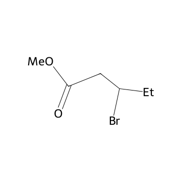 CCC(Br)CC(=O)OC